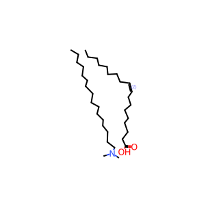 CCCCCCCC/C=C\CCCCCCCC(=O)O.CCCCCCCCCCCCCCCCN(C)C